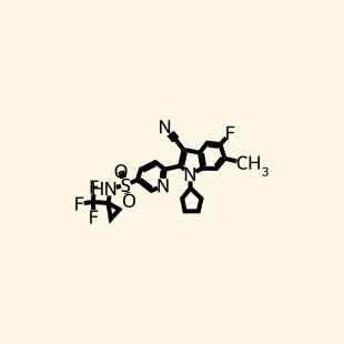 Cc1cc2c(cc1F)c(C#N)c(-c1ccc(S(=O)(=O)NC3(C(F)(F)F)CC3)cn1)n2C1CCCC1